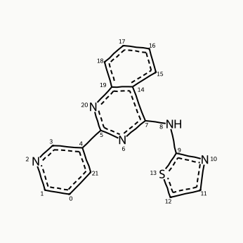 c1cncc(-c2nc(Nc3nccs3)c3ccccc3n2)c1